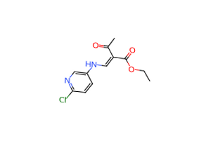 CCOC(=O)/C(=C/Nc1ccc(Cl)nc1)C(C)=O